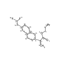 C=C(C(=O)OCCC(C)C)c1ccc2cc(SC(F)F)ccc2c1